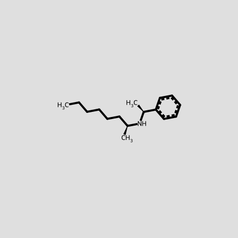 CCCCCC[C@H](C)N[C@@H](C)c1ccccc1